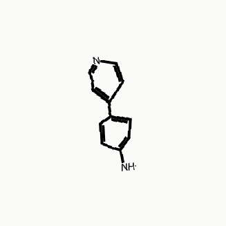 [NH]c1ccc(-c2ccncc2)cc1